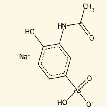 CC(=O)Nc1cc([As](=O)([O-])O)ccc1O.[Na+]